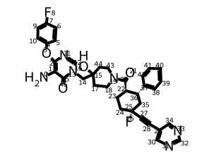 Nc1c(Oc2ccc(F)cc2)ncn(CC2(O)CCN(C(=O)[C@@H]3CC[C@](F)(C#Cc4cncnc4)C[C@H]3c3ccccc3)CC2)c1=O